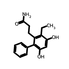 CCc1c(O)cc(O)c(-c2ccccc2)c1CCC(N)=O